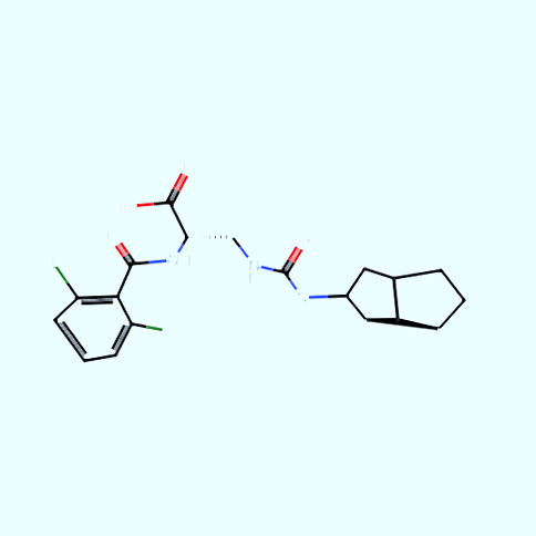 O=C(NC[C@H](NC(=O)c1c(Cl)cccc1Cl)C(=O)O)NC1CC2CCC3C2C13